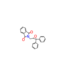 O=C1c2ccccc2C(=O)N1CC1OC1(c1ccccc1)c1ccccc1